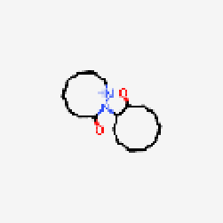 O=C1CCCCCCCCC1N1NCCCCCCCC1=O